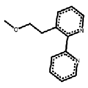 COCCc1cccnc1-c1ccccn1